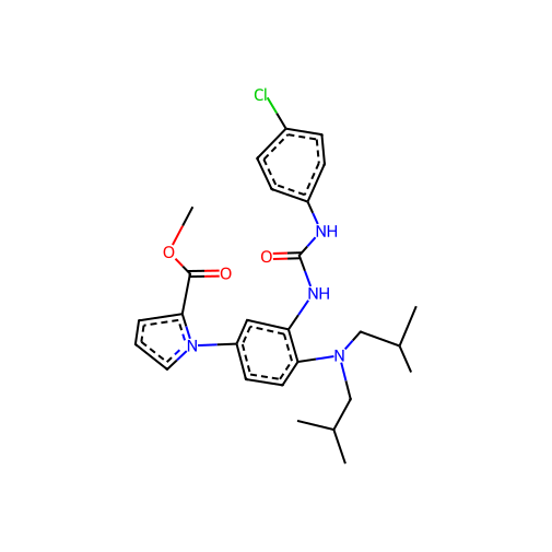 COC(=O)c1cccn1-c1ccc(N(CC(C)C)CC(C)C)c(NC(=O)Nc2ccc(Cl)cc2)c1